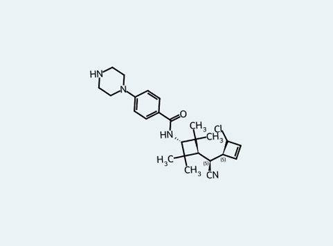 CC1(C)[C@H](NC(=O)c2ccc(N3CCNCC3)cc2)C(C)(C)[C@H]1[C@H](C#N)[C@@H]1C=CC1Cl